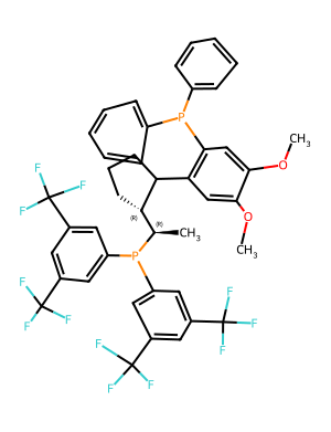 COc1cc(C2CCC[C@H]2[C@@H](C)P(c2cc(C(F)(F)F)cc(C(F)(F)F)c2)c2cc(C(F)(F)F)cc(C(F)(F)F)c2)c(P(c2ccccc2)c2ccccc2)cc1OC